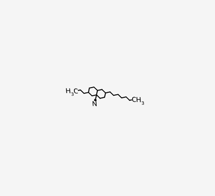 CCCCCCCC1CCC2(C#N)CC(CCC)CCC2C1